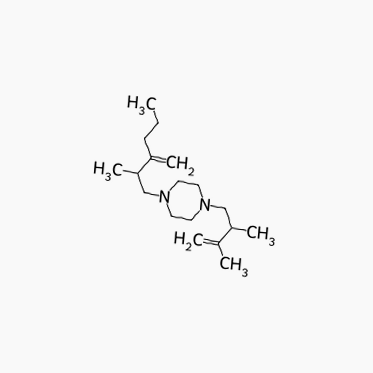 C=C(C)C(C)CN1CCN(CC(C)C(=C)CCC)CC1